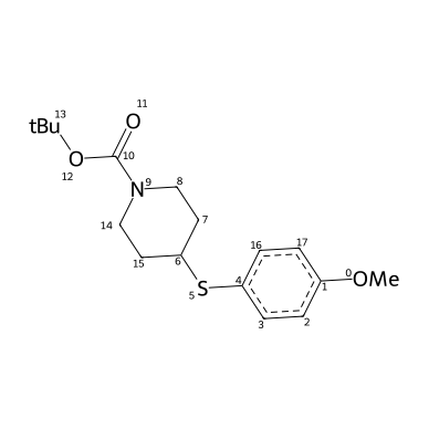 COc1ccc(SC2CCN(C(=O)OC(C)(C)C)CC2)cc1